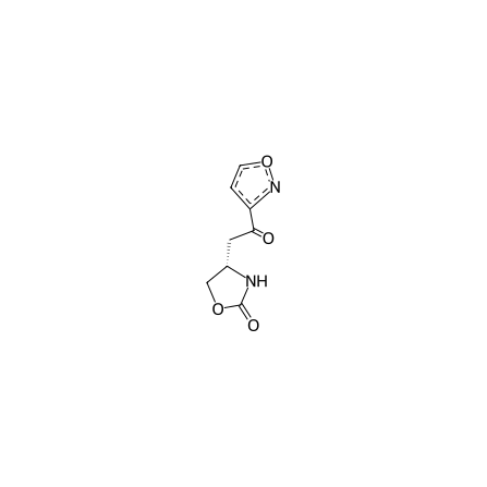 O=C1N[C@@H](CC(=O)c2ccon2)CO1